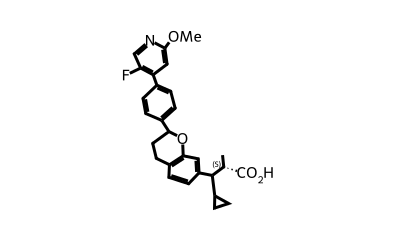 COc1cc(-c2ccc(C3CCc4ccc(C(C5CC5)[C@H](C)C(=O)O)cc4O3)cc2)c(F)cn1